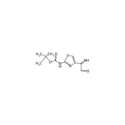 CC(C)(C)OC(=O)Nc1nc(C(=N)C=O)cs1